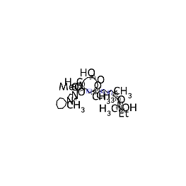 CC[C@H](O)[C@@H](C)[C@H]1O[C@@H]1C[C@H](C)/C=C/C=C(\C)[C@H]1OC(=O)C[C@H](O)CC[C@@](C)(OC)[C@@H](OC(=O)N2CC[N+](C)(C3CCCCCCC3)CC2)/C=C/[C@@H]1C